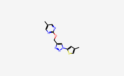 Cc1cnc(OCc2cn(-c3cc(C)cs3)nn2)nc1